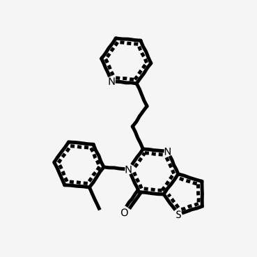 Cc1ccccc1-n1c(CCc2ccccn2)nc2ccsc2c1=O